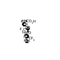 O=C(O)Nc1nc(-n2ncc(C(=O)Nc3cnc(-n4nccn4)c(C(F)(F)F)c3)c2C(F)(F)F)ccc1F